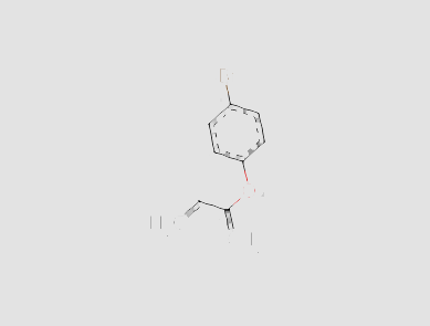 C=CC(=C)Oc1ccc(Br)cc1